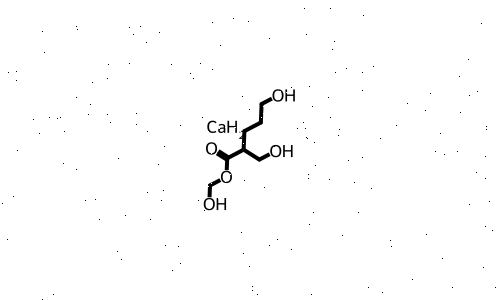 O=C(OCO)C(CO)CCCO.[CaH2]